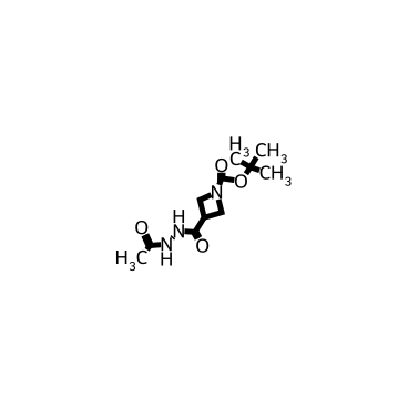 CC(=O)NNC(=O)C1CN(C(=O)OC(C)(C)C)C1